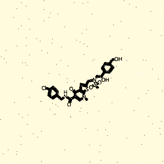 Cn1cc(C(=O)NCc2ccc(Cl)cc2)c(=O)c2cc(CN(CC(O)c3ccc(CO)cc3)S(C)(=O)=O)sc21